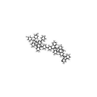 Cc1ccc(-c2c(-c3ccc(C)cc3)n3c4c(cccc24)B2c4ccccc4N(c4ccc(-c5ccc(-c6c(-c7ccccc7)n7c8c(cccc68)B6c8ccc(-n9c%10ccccc%10c%10ccccc%109)cc8N(C)c8cccc-7c86)cc5)cc4)c4cc(-c5ccccc5)cc-3c42)cc1